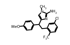 COc1ccc(C(Cc2cc(Cl)ccc2C(F)(F)F)c2cn(C)c(N)n2)cc1